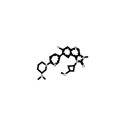 COC1CC(n2c(=O)n(C)c3cnc4cc(F)c(-c5ccc(N6CCC[C@@H](N(C)C)C6)nc5)cc4c32)C1